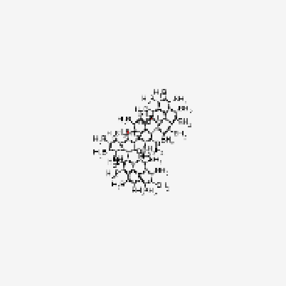 Bc1c(B)c(B)c2c(-c3c(B)c(B)c4c(B)c(B)c5c(B)c(B)c(B)c6c(B)c(B)c3c4c56)c(B)c(-c3c(B)c(B)c(-c4c(B)c(B)c5c(B)c(B)c6c(B)c(B)c(B)c7c(B)c(B)c4c5c67)c4c(B)c(B)c(B)c(B)c34)c(B)c2c1B